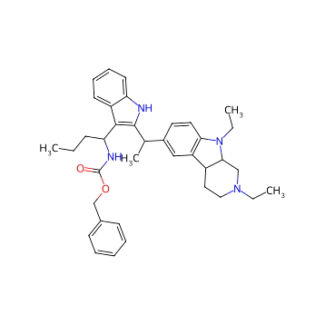 CCCC(NC(=O)OCc1ccccc1)c1c(C(C)c2ccc3c(c2)C2CCN(CC)CC2N3CC)[nH]c2ccccc12